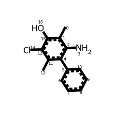 Cc1c(N)c(-c2ccccc2)c(C)c(Cl)c1O